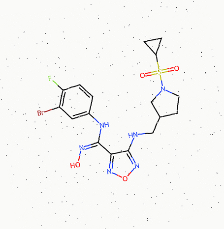 O=S(=O)(C1CC1)N1CCC(CNc2nonc2C(=NO)Nc2ccc(F)c(Br)c2)C1